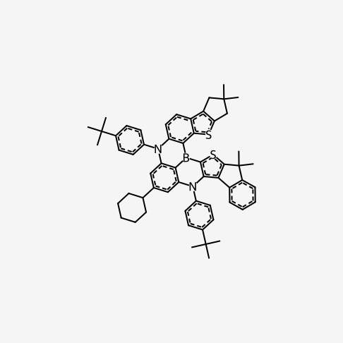 CC1(C)Cc2sc3c4c(ccc3c2C1)N(c1ccc(C(C)(C)C)cc1)c1cc(C2CCCCC2)cc2c1B4c1sc3c(c1N2c1ccc(C(C)(C)C)cc1)-c1ccccc1C3(C)C